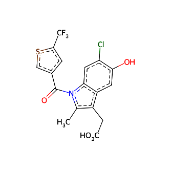 Cc1c(CC(=O)O)c2cc(O)c(Cl)cc2n1C(=O)c1csc(C(F)(F)F)c1